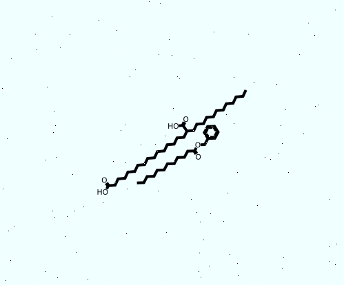 CCCCCCCCCCCC(=O)OCc1ccccc1.CCCCCCCCCCCCC(CCCCCCCCCCCCCCCC(=O)O)C(=O)O